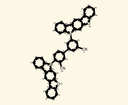 N#Cc1cc(-c2ccc(-n3c4ccccc4c4cc5c(cc43)oc3ccccc35)c(C#N)c2)cc(-n2c3ccccc3c3cc4c(cc32)oc2ccccc24)c1